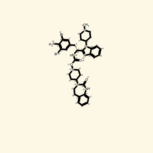 CN1CCC(n2c([C@@H](Cc3cc(Br)c(N)c(Br)c3)NC(=O)ON3CCC(N4CCc5ccccc5NC4=O)CC3)nc3ccccc32)CC1